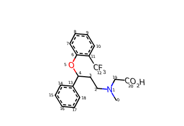 CN(CCC(Oc1ccccc1C(F)(F)F)c1ccccc1)CC(=O)O